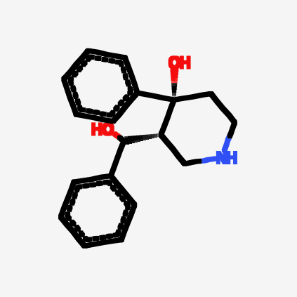 OC(c1ccccc1)[C@H]1CNCC[C@]1(O)c1ccccc1